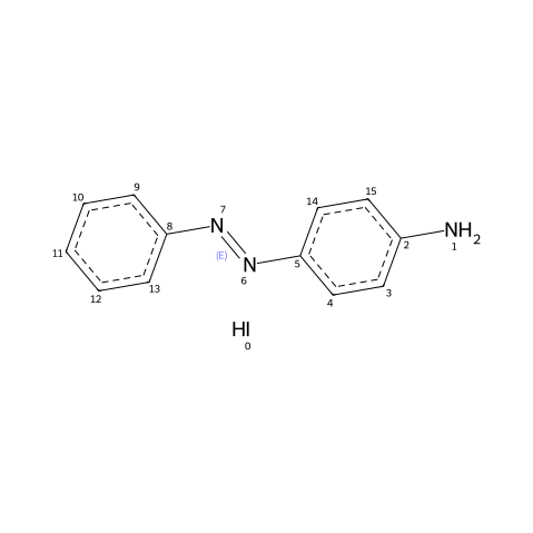 I.Nc1ccc(/N=N/c2ccccc2)cc1